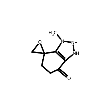 CN1NNC2=C1C1(CCC2=O)CO1